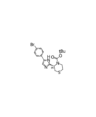 CC(C)(C)OC(=O)N1CCSC[C@H]1c1ncc(-c2ccc(Br)cc2)[nH]1